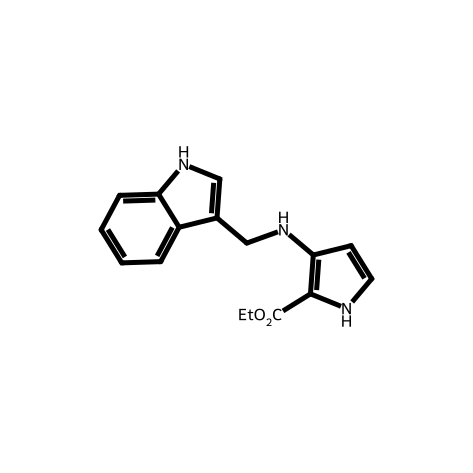 CCOC(=O)c1[nH]ccc1NCc1c[nH]c2ccccc12